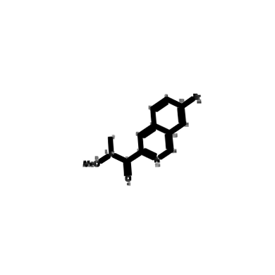 CON(C)C(=O)c1cc2ccc(Br)cc2cn1